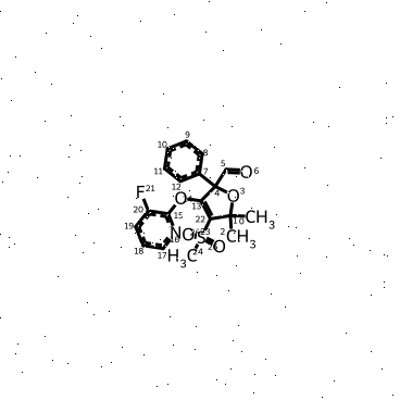 CC1(C)OC(C=O)(c2ccccc2)C(Oc2ncccc2F)=C1S(C)(=O)=O